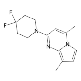 Cc1ccn2c(C)cc(N3CCC(F)(F)CC3)nc12